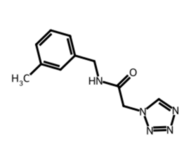 Cc1cccc(CNC(=O)Cn2cnnn2)c1